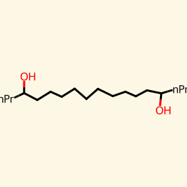 CCCC(O)CCCCCCCCCCC(O)CCC